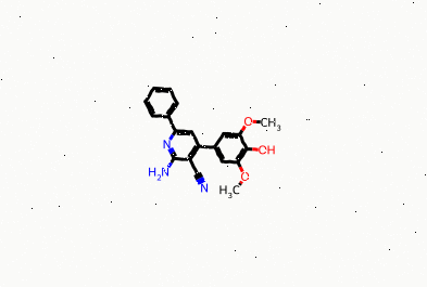 COc1cc(-c2cc(-c3ccccc3)nc(N)c2C#N)cc(OC)c1O